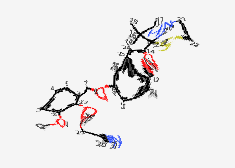 COc1cccc(COc2ccc3oc(C4(C(C)(C)C)NC=CS4)cc3c2)c1OCC#N